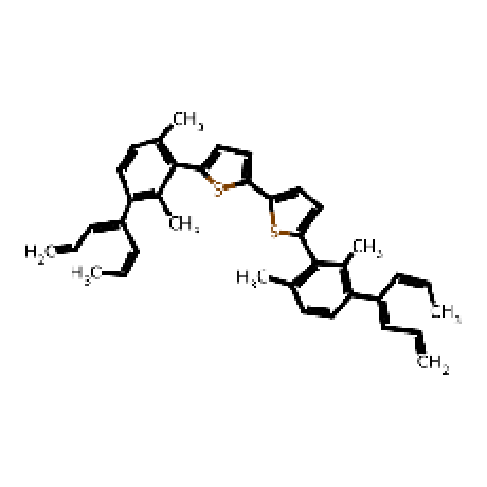 C=C/C=C(\C=C/C)c1ccc(C)c(-c2ccc(-c3ccc(-c4c(C)ccc(C(/C=C\C)=C/C=C)c4C)s3)s2)c1C